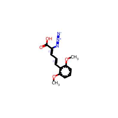 COc1cccc(OC)c1/C=C/C=C(\N=[N+]=[N-])C(=O)O